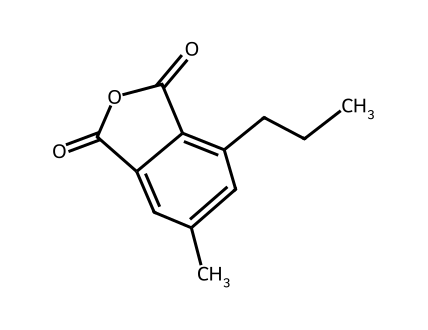 CCCc1cc(C)cc2c1C(=O)OC2=O